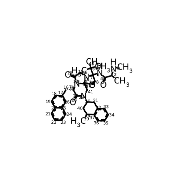 CNC(C)C(=O)NC(C=O)(N1CC(=O)N2[C@@H](Cc3ccc4ccccc4c3)C(=O)N(C3Cc4ccccc4C(C)C3)C[C@@H]21)C(C)(C)C